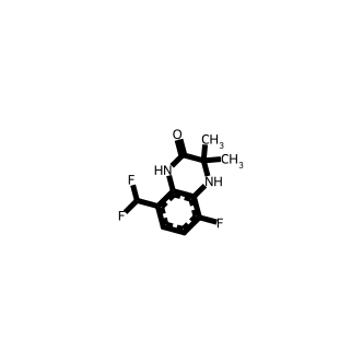 CC1(C)Nc2c(F)ccc(C(F)F)c2NC1=O